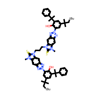 Cn1c(=S)n(CCCn2c(=S)n(C)c3cc4nn(-c5cc(C(C)(C)CC(C)(C)C)cc(C(C)(C)c6ccccc6)c5O)nc4cc32)c2cc3nn(-c4cc(C(C)(C)CC(C)(C)C)cc(C(C)(C)c5ccccc5)c4O)nc3cc21